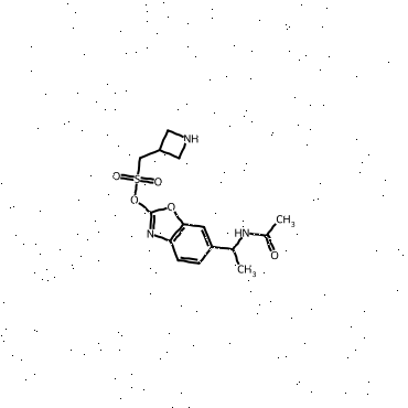 CC(=O)NC(C)c1ccc2nc(OS(=O)(=O)CC3CNC3)oc2c1